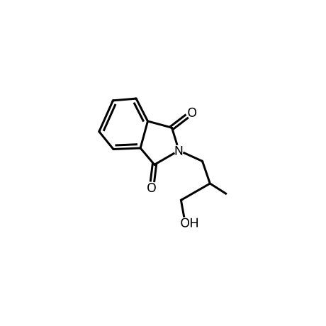 CC(CO)CN1C(=O)c2ccccc2C1=O